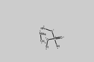 CCCSP(=O)(S)OCC.CNC